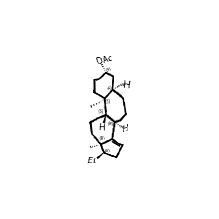 CC[C@@H]1CC=C2[C@@H]3CC[C@@H]4C[C@@H](OC(C)=O)CC[C@]4(C)[C@H]3CC[C@@]21C